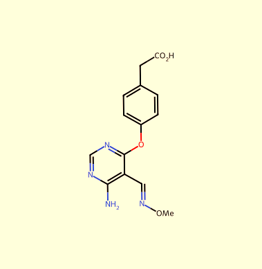 CO/N=C/c1c(N)ncnc1Oc1ccc(CC(=O)O)cc1